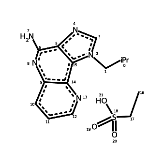 CC(C)Cn1cnc2c(N)nc3cccnc3c21.CCS(=O)(=O)O